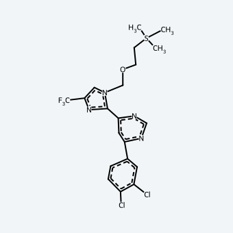 CS(C)(C)CCOCn1cc(C(F)(F)F)nc1-c1cc(-c2ccc(Cl)c(Cl)c2)ncn1